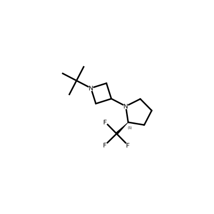 CC(C)(C)N1CC(N2CCC[C@H]2C(F)(F)F)C1